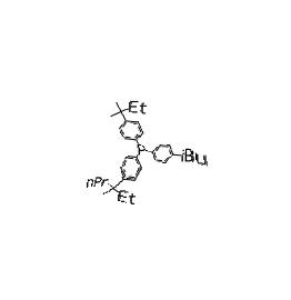 CCCC(C)(CC)c1ccc(P(c2ccc(C(C)CC)cc2)c2ccc(C(C)(C)CC)cc2)cc1